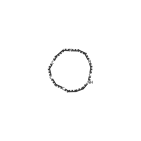 c1ccccc[nH]ccnccncccc1